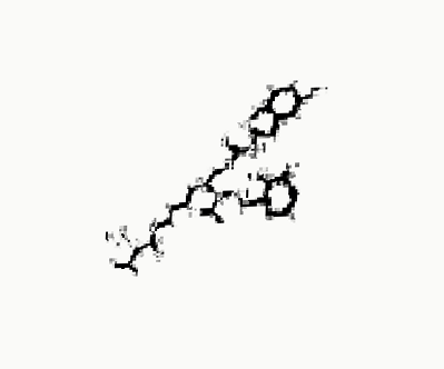 CC(=O)N(NCc1cccc(F)c1Cl)[C@@H](CCCCOC(=O)[C@@H](N)C(C)C)COC(=O)Nc1cc2cc(F)ccc2cn1